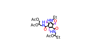 CCC(=O)Nc1c(I)c(C(=O)NCC(CC)OC(C)=O)c(I)c(C(=O)NCC(COC(C)=O)OC(C)=O)c1I